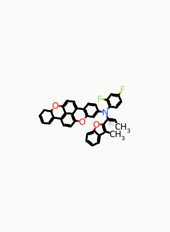 C/C=C(\c1oc2ccccc2c1C)N(c1ccc2c(c1)Oc1ccc3c4c(ccc-2c14)OC1CC=CC=C31)c1ccc(F)cc1F